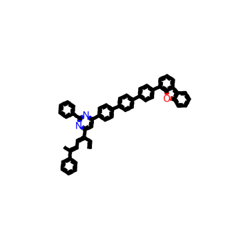 C=C/C(=C\C=C(/C)c1ccccc1)c1cc(-c2ccc(-c3ccc(-c4ccc(-c5cccc6c5oc5ccccc56)cc4)cc3)cc2)nc(-c2ccccc2)n1